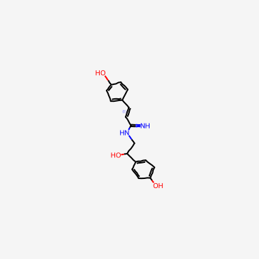 N=C(/C=C/c1ccc(O)cc1)NCC(O)c1ccc(O)cc1